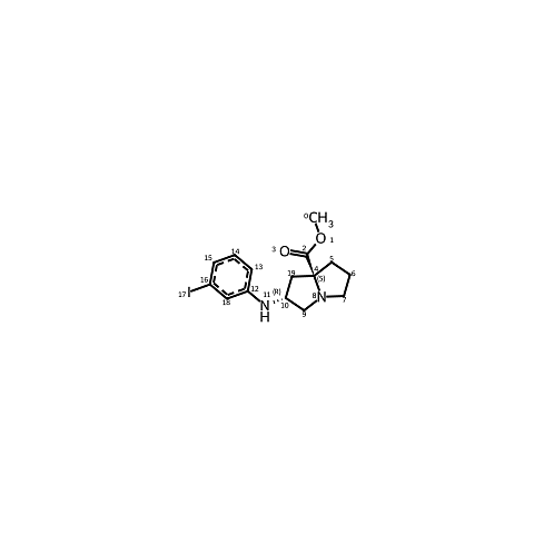 COC(=O)[C@@]12CCCN1C[C@H](Nc1cccc(I)c1)C2